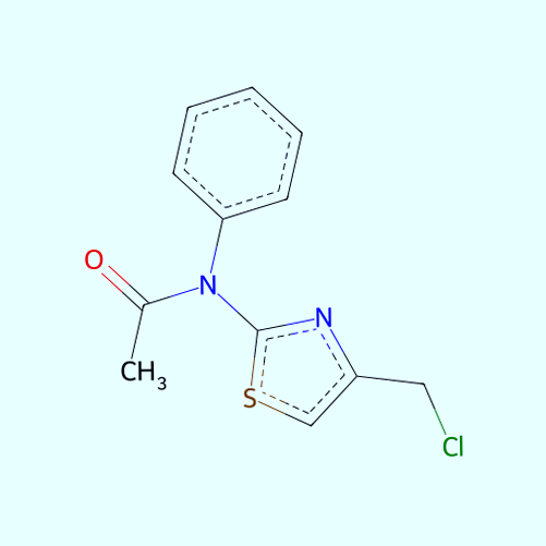 CC(=O)N(c1ccccc1)c1nc(CCl)cs1